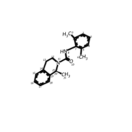 Cc1cccc(C)c1NC(=O)N1CCc2ccccc2[C@@H]1C